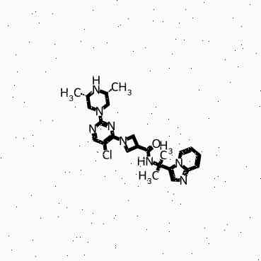 C[C@@H]1CN(c2ncc(Cl)c(N3CC(C(=O)NC(C)(C)c4cnc5ccccn45)C3)n2)C[C@H](C)N1